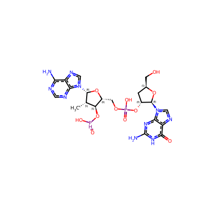 C[C@H]1[C@H](O[PH](=O)O)[C@@H](COP(=O)(O)O[C@@H]2C[C@@H](CO)O[C@H]2n2cnc3c(=O)[nH]c(N)nc32)O[C@H]1n1cnc2c(N)ncnc21